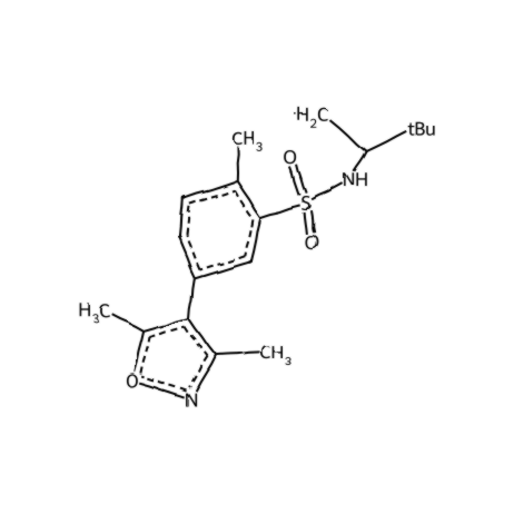 [CH2]C(NS(=O)(=O)c1cc(-c2c(C)noc2C)ccc1C)C(C)(C)C